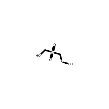 O=S(=O)(CO)CSO